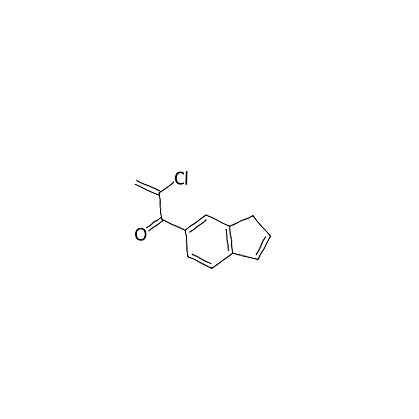 C=C(Cl)C(=O)c1ccc2c(c1)CC=C2